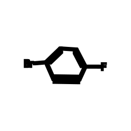 Fc1c#cc(Br)cc1